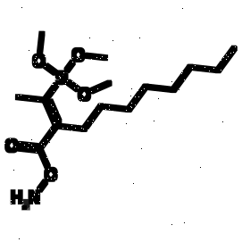 CCCCCCCCC(C(=O)ON)=C(C)[Si](OC)(OC)OC